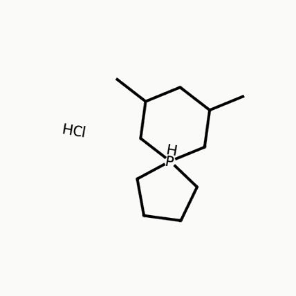 CC1CC(C)C[PH]2(CCCC2)C1.Cl